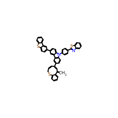 C=C1/C=C(c2ccc3c(c2)c2cc(-c4ccc5sc6ccccc6c5c4)ccc2n3-c2ccc(-c3nc4ccccc4s3)cc2)\C=C/CSc2ccccc21